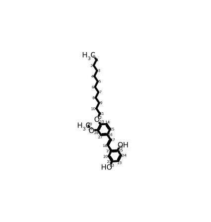 CCCCCCCCCCCCOc1ccc(C=Cc2cc(O)ccc2O)cc1OC